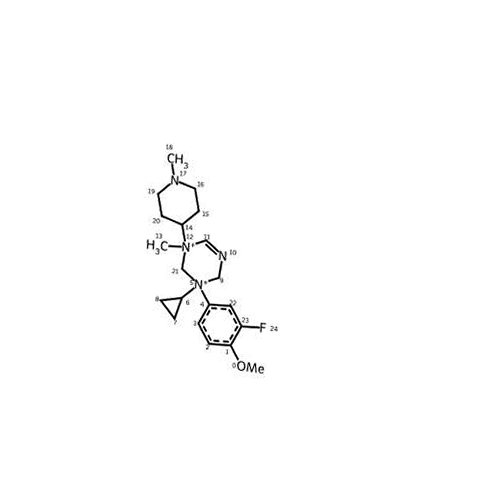 COc1ccc([N+]2(C3CC3)CN=C[N+](C)(C3CCN(C)CC3)C2)cc1F